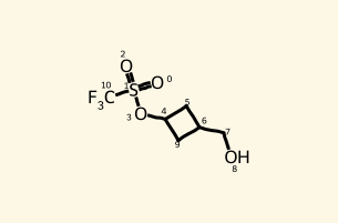 O=S(=O)(OC1CC(CO)C1)C(F)(F)F